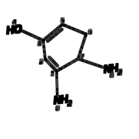 NC1=CC(O)=CCC1N